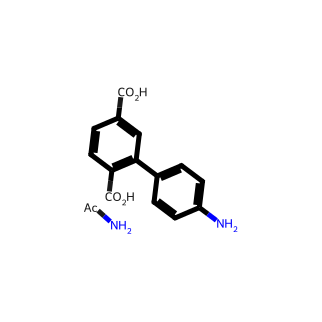 CC(N)=O.Nc1ccc(-c2cc(C(=O)O)ccc2C(=O)O)cc1